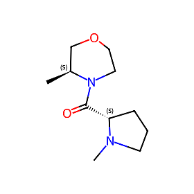 C[C@H]1COCCN1C(=O)[C@@H]1CCCN1C